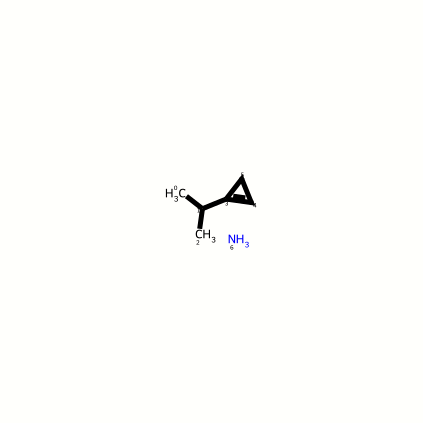 CC(C)C1=CC1.N